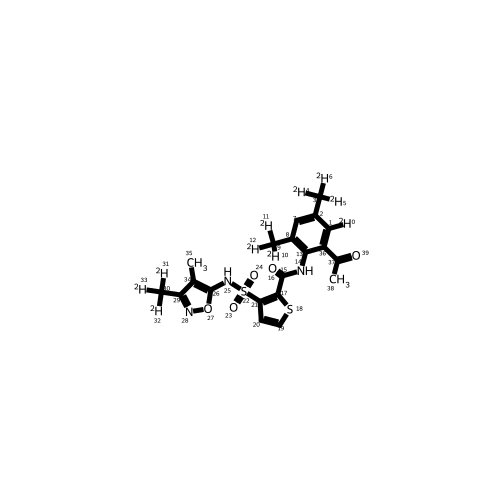 [2H]c1c(C([2H])([2H])[2H])cc(C([2H])([2H])[2H])c(NC(=O)c2sccc2S(=O)(=O)Nc2onc(C([2H])([2H])[2H])c2C)c1C(C)=O